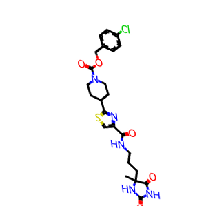 CC1(CCCNC(=O)c2csc(C3CCN(C(=O)OCc4ccc(Cl)cc4)CC3)n2)NC(=O)NC1=O